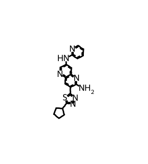 Nc1nc2cc(Nc3ccccn3)cnc2cc1-c1nnc(C2CCCC2)s1